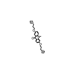 Cn1c2ccc(OCCCN3CCC3)cc2c(=O)c2ccc(OCCCN3CCC3)cc21